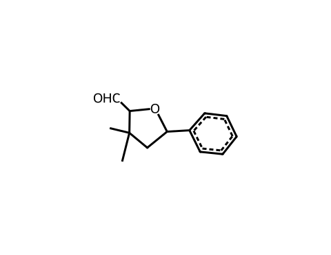 CC1(C)CC(c2ccccc2)OC1C=O